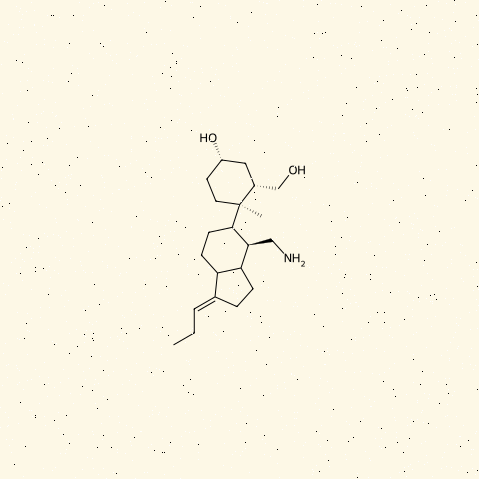 CCC=C1CCC2C1CCC([C@@]1(C)CC[C@H](O)C[C@@H]1CO)[C@H]2CN